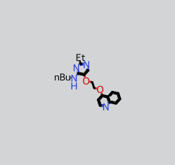 CCCCNc1nc(CC)ncc1OCCOc1ccnc2ccccc12